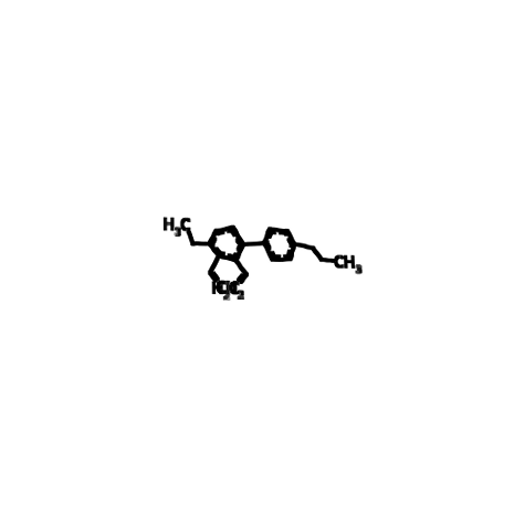 C=Cc1c(CC)ccc(-c2ccc(CCC)cc2)c1C=C